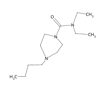 CCCCN1CCN(C(=O)N(CC)CC)CC1